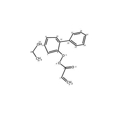 C=CC(=O)OOc1ccccc1-c1ccccc1.CCO